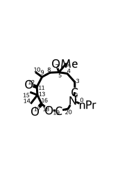 CCCN1CCCC(C)(OC)CC(C)C(=O)C(C)(C)C(=O)OCC1